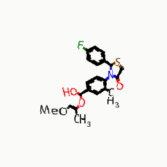 COCC(C)OC(O)c1ccc(N2C(=O)CSC2c2ccc(F)cc2)c(C)c1